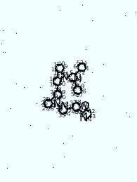 c1ccc(-c2cc(-n3c4ccccc4c4ccc(-c5ccc6c(c5)c5ccccc5n6-c5cccc(-c6ccc7oc8cccnc8c7c6)n5)cc43)cc(-c3ccccc3)n2)cc1